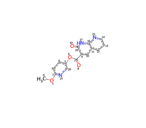 COc1ccc(OC(=O)c2cc3cccnc3[nH]c2=O)cn1